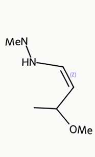 CNN/C=C\C(C)OC